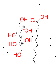 CCCCCCCCCC(=O)O.OC[C@@H](O)[C@@H](O)[C@H](O)[C@H](O)CO